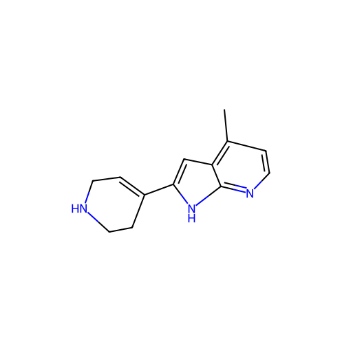 Cc1ccnc2[nH]c(C3=CCNCC3)cc12